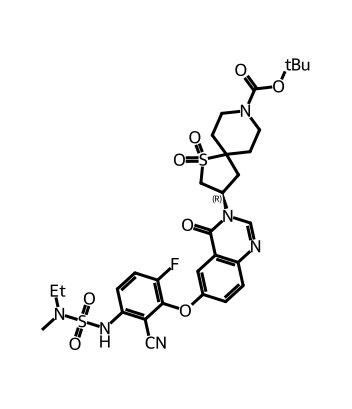 CCN(C)S(=O)(=O)Nc1ccc(F)c(Oc2ccc3ncn([C@@H]4CC5(CCN(C(=O)OC(C)(C)C)CC5)S(=O)(=O)C4)c(=O)c3c2)c1C#N